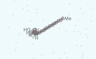 COCCOCCOCCOCCOCCOCCOCCOCCOCCOCCOCCOCCC(=O)N[C@@H](C)C(=O)N[C@@H](C)C(=O)N[C@@H](CC(C)=O)C(=O)O